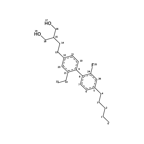 CCCCCc1ccc(-c2ccc(CCC(CO)CO)cc2CC)c(F)c1